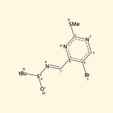 CSc1ncc(Br)c(C=N[S+]([O-])C(C)(C)C)n1